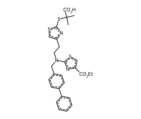 CCOC(=O)c1csc(N(CCc2csc(SC(C)(C)C(=O)O)n2)Cc2ccc(-c3ccccc3)cc2)n1